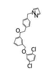 O=C(Cc1ccc(Cn2cccn2)cc1)c1cccc(COc2cc(Cl)ccc2Cl)c1